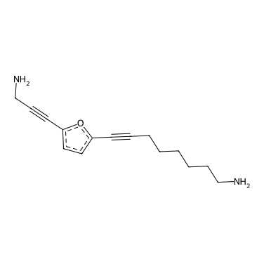 NCC#Cc1ccc(C#CCCCCCCN)o1